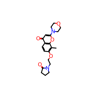 Cc1c(OCCN2CCCC2=O)ccc2c(=O)cc(N3CCOCC3)oc12